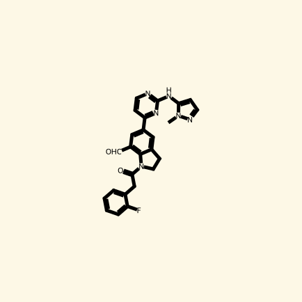 Cn1nccc1Nc1nccc(-c2cc(C=O)c3c(c2)CCN3C(=O)Cc2ccccc2F)n1